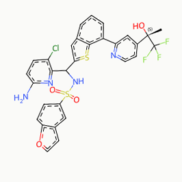 C[C@](O)(c1ccnc(-c2cccc3cc(C(NS(=O)(=O)c4ccc5occc5c4)c4nc(N)ccc4Cl)sc23)c1)C(F)(F)F